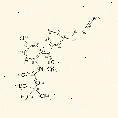 CN(C(=O)OC(C)(C)C)c1ccc(Cl)cc1C(=O)c1cccc(CCCC#N)c1